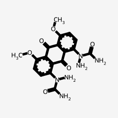 COc1ccc(N(N)C(N)=O)c2c1C(=O)c1c(OC)ccc(N(N)C(N)=O)c1C2=O